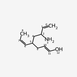 C=CC(N)CC(/C=C\C)C/C=C/O